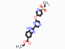 CCOC(=O)c1ccc2[nH]c(-c3cncc(Oc4ccc(S(=O)(=O)CC)nc4)n3)nc2c1